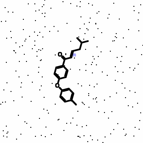 Cc1ccc(Oc2ccc(C(=O)/C=C/CC(C)C)cc2)cc1